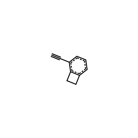 C#Cc1cccc2c1CC2